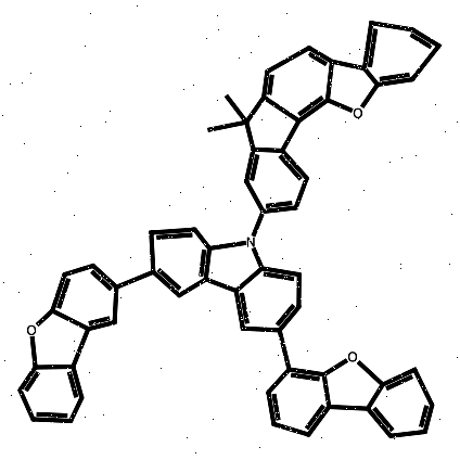 CC1(C)c2cc(-n3c4ccc(-c5ccc6oc7ccccc7c6c5)cc4c4cc(-c5cccc6c5oc5ccccc56)ccc43)ccc2-c2c1ccc1c2oc2ccccc21